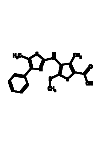 CSc1sc(C(=O)O)c(C)c1Nc1nc(-c2ccccc2)c(C)s1